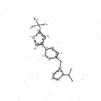 CC(C)c1nccn1Cc1ccc(-c2noc(C(F)(F)F)n2)cc1